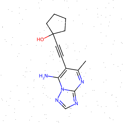 Cc1nc2ncnn2c(N)c1C#CC1(O)CCCC1